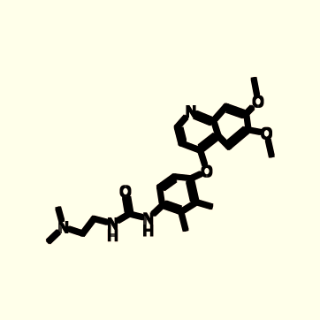 COc1cc2nccc(Oc3ccc(NC(=O)NCCN(C)C)c(C)c3C)c2cc1OC